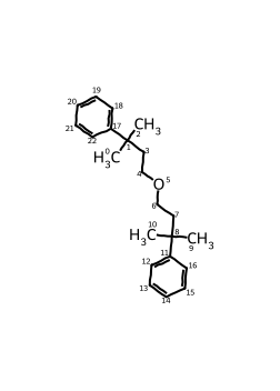 CC(C)(CCOCCC(C)(C)c1ccccc1)c1ccccc1